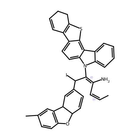 C/C=C\C(N)=C(/C(I)C1=CC2c3cc(C)ccc3OC2C=C1)n1c2ccccc2c2c3sc4c(c3ccc21)C=CCC4